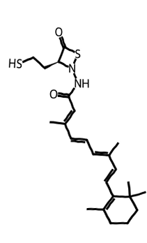 CC(C=CC1=C(C)CCCC1(C)C)=CC=CC(C)=CC(=O)NN1SC(=O)[C@@H]1CCS